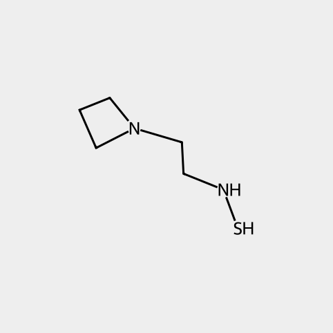 SNCCN1CCC1